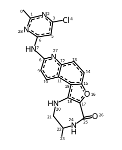 Cc1nc(Cl)cc(Nc2ccc3c(ccc4oc5c(c43)NCC(C)NC5=O)n2)n1